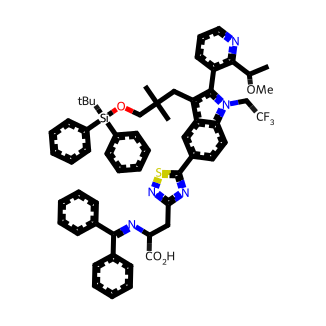 COC(C)c1ncccc1-c1c(CC(C)(C)CO[Si](c2ccccc2)(c2ccccc2)C(C)(C)C)c2cc(-c3nc(CC(N=C(c4ccccc4)c4ccccc4)C(=O)O)ns3)ccc2n1CC(F)(F)F